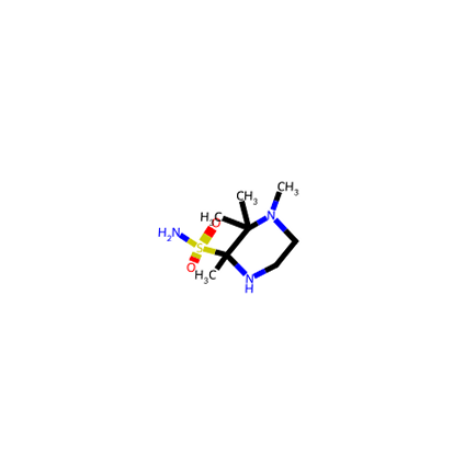 CN1CCNC(C)(S(N)(=O)=O)C1(C)C